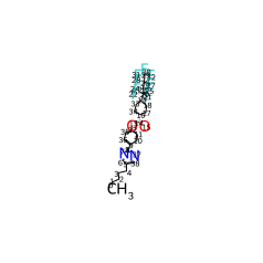 CCCCCc1cnc(-c2ccc(OC(=O)[C@H]3CC[C@H](C(F)(F)C(F)(F)C(F)(F)C(F)(F)F)CC3)cc2)nc1